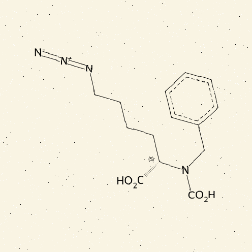 [N-]=[N+]=NCCCC[C@@H](C(=O)O)N(Cc1ccccc1)C(=O)O